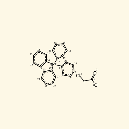 O=C([O-])CCl.c1ccc([P+](c2ccccc2)(c2ccccc2)c2ccccc2)cc1